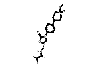 CN=S1(=O)CCC(c2ccc(N3C[C@H](CNC(=S)C(F)F)OC3=O)cc2)CC1